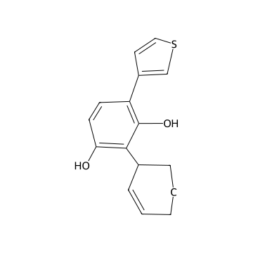 Oc1ccc(-c2ccsc2)c(O)c1C1C=CCCC1